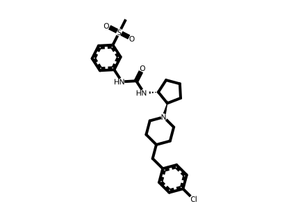 CS(=O)(=O)c1cccc(NC(=O)N[C@@H]2CCC[C@H]2N2CCC(Cc3ccc(Cl)cc3)CC2)c1